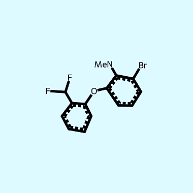 CNc1c(Br)cccc1Oc1ccccc1C(F)F